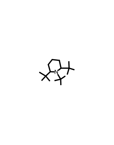 CC(C)(C)C1CCCC(C(C)(C)C)N1C(C)(C)C